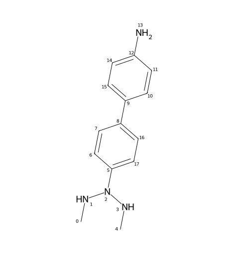 CNN(NC)c1ccc(-c2ccc(N)cc2)cc1